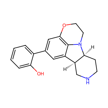 Oc1ccccc1-c1cc2c3c(c1)[C@@H]1CNCC[C@@H]1N3CCO2